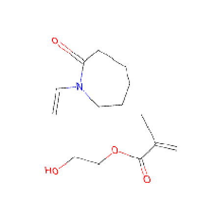 C=C(C)C(=O)OCCO.C=CN1CCCCCC1=O